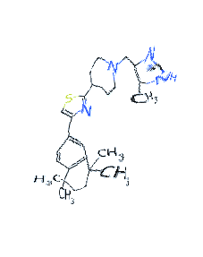 Cc1[nH]cnc1CN1CCC(c2nc(-c3ccc4c(c3)C(C)(C)CCC4(C)C)cs2)CC1